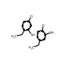 CCc1ccc(Cl)c(S)c1.CCc1ccc(Cl)cc1S